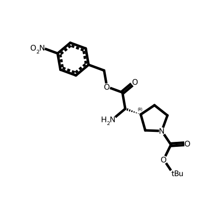 CC(C)(C)OC(=O)N1CC[C@@H](C(N)C(=O)OCc2ccc([N+](=O)[O-])cc2)C1